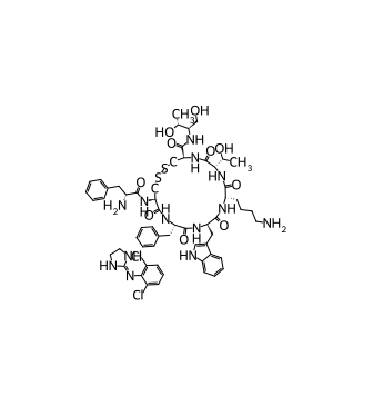 CC(O)[C@@H]1NC(=O)[C@H](CCCCN)NC(=O)[C@@H](Cc2c[nH]c3ccccc23)NC(=O)[C@H](Cc2ccccc2)NC(=O)[C@@H](NC(=O)[C@H](N)Cc2ccccc2)CSSC[C@@H](C(=O)N[C@H](CO)[C@@H](C)O)NC1=O.Clc1cccc(Cl)c1N=C1NCCN1